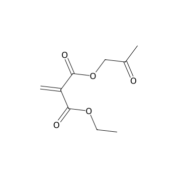 C=C(C(=O)OCC)C(=O)OCC(C)=O